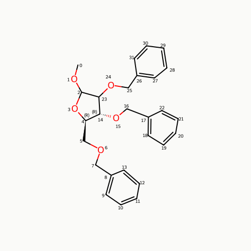 COC1O[C@H](COCc2ccccc2)[C@@H](OCc2ccccc2)C1OCc1ccccc1